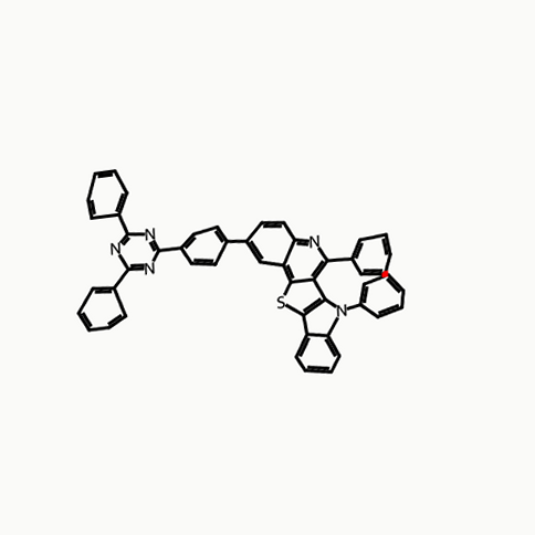 c1ccc(-c2nc(-c3ccccc3)nc(-c3ccc(-c4ccc5nc(-c6ccccc6)c6c(sc7c8ccccc8n(-c8ccccc8)c76)c5c4)cc3)n2)cc1